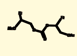 CCC(COC(=O)OC(CC)COC(C)=O)OC